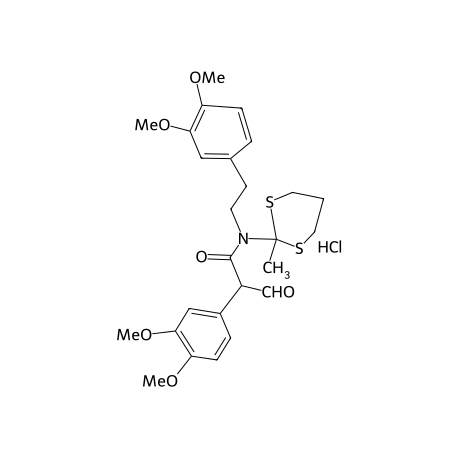 COc1ccc(CCN(C(=O)C(C=O)c2ccc(OC)c(OC)c2)C2(C)SCCCS2)cc1OC.Cl